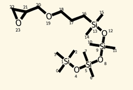 C[Si](C)(C)O[Si](C)(C)O[Si](C)(C)O[Si](C)(C)CCCOCC1CO1